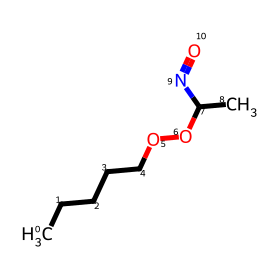 CCCCCOOC(C)N=O